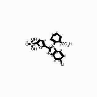 O=C(O)c1ccccc1-n1c(-c2ccc(P(=O)(O)O)o2)nc2cc(Cl)ccc21